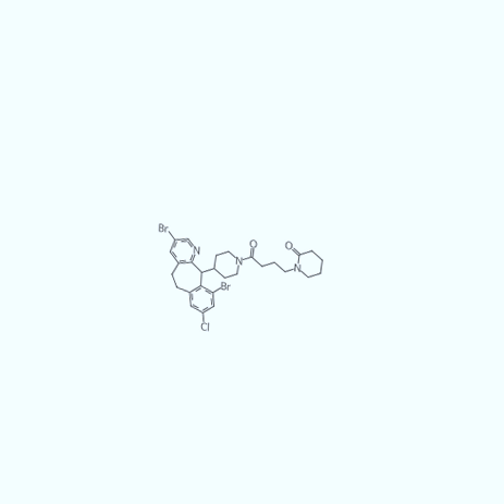 O=C1CCCCN1CCCC(=O)N1CCC(C2c3ncc(Br)cc3CCc3cc(Cl)cc(Br)c32)CC1